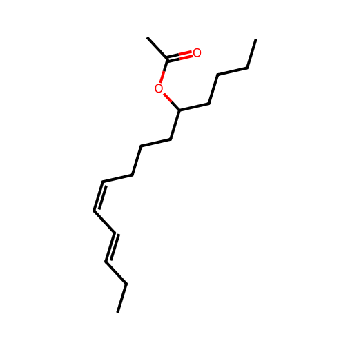 CCC=C/C=C\CCCC(CCCC)OC(C)=O